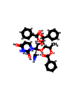 CC(OC(=O)c1ccccc1)[C@@H](COC(=O)c1ccccc1)O[C@](C#N)(COC(=O)c1ccccc1)n1ccc(=O)[nH]c1=O